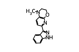 CN1CCOc2nc(-c3n[nH]c4ccccc34)ccc21